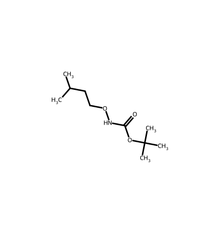 CC(C)CCONC(=O)OC(C)(C)C